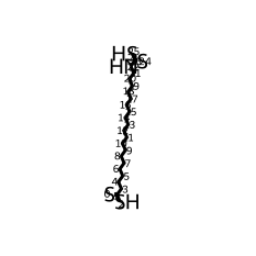 S=C(S)CCCCCCCCCCCCCCCCCCCNC(=S)S